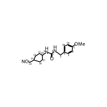 COc1ccc(CNC(=O)NC2CCC(CC#N)CC2)cc1